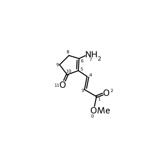 COC(=O)C=CC1=C(N)CCC1=O